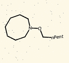 CCCCCCON1CCCCCCC1